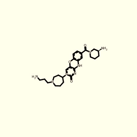 NCCCN1CCCC(n2cc3c(nc2=O)Nc2cc(C(=O)N4CCC[C@H](N)C4)ccc2O3)CC1